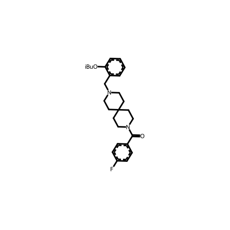 CC(C)COc1ccccc1CN1CCC2(CC1)CCN(C(=O)c1ccc(F)cc1)CC2